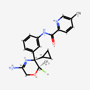 N#Cc1ccc(C(=O)Nc2cccc([C@@]3(C4CC4)N=C(N)CO[C@@]3(F)C(F)(F)F)c2)nc1